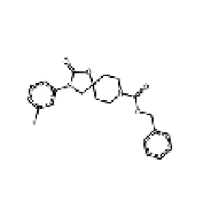 O=C(OCc1ccccc1)N1CCC2(CC1)CN(c1cccc(F)c1)C(=O)O2